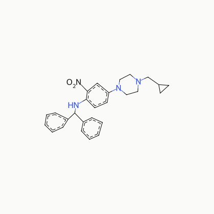 O=[N+]([O-])c1cc(N2CCN(CC3CC3)CC2)ccc1NC(c1ccccc1)c1ccccc1